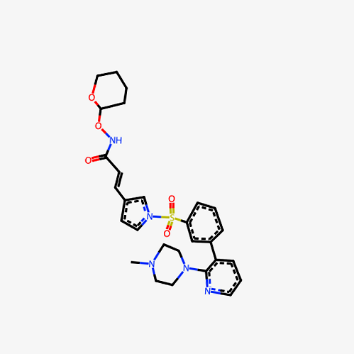 CN1CCN(c2ncccc2-c2cccc(S(=O)(=O)n3ccc(C=CC(=O)NOC4CCCCO4)c3)c2)CC1